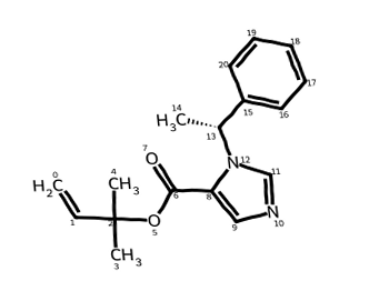 C=CC(C)(C)OC(=O)c1cncn1[C@H](C)c1ccccc1